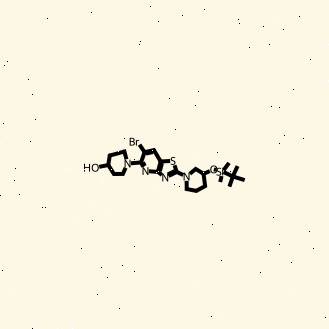 CC(C)(C)[Si](C)(C)OC1CCCN(c2nc3nc(N4CCC(O)CC4)c(Br)cc3s2)C1